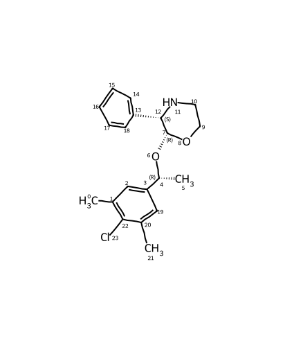 Cc1cc([C@@H](C)O[C@H]2OCCN[C@H]2c2ccccc2)cc(C)c1Cl